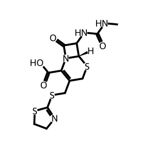 CNC(=O)NC1C(=O)N2C(C(=O)O)=C(CSC3=NCCS3)CS[C@@H]12